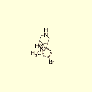 CN1CC2CNCC(C1)C2(O)c1ccc(Br)cc1